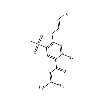 CCCC=CCc1cc(CC)c(C(=O)N=C(N)N)cc1S(C)(=O)=O